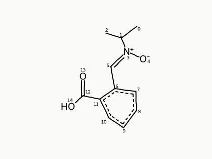 CC(C)[N+]([O-])=Cc1ccccc1C(=O)O